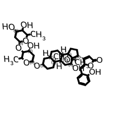 CC1O[C@@H](OC2C(C)O[C@@H](O[C@H]3CC[C@@]4(C)[C@H](CC[C@@H]5[C@@H]4C[C@@H](O)[C@]4(C)[C@@H](C6=CC(=O)OC6=Cc6ccccc6O)CC[C@]54O)C3)C[C@H]2O)C[C@@H](O)C1O